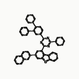 c1ccc(-c2nc(-c3ccc(-c4ccccc4)c(-c4ccccc4)c3)nc(-c3cc(-c4ccc5ccccc5c4)cc4oc5ccccc5c34)n2)cc1